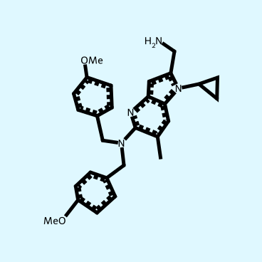 COc1ccc(CN(Cc2ccc(OC)cc2)c2nc3cc(CN)n(C4CC4)c3cc2C)cc1